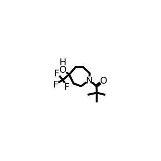 CC(C)(C)C(=O)N1CCCC(O)(C(F)(F)F)CC1